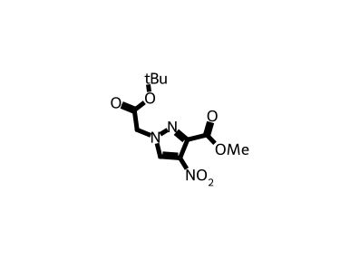 COC(=O)c1nn(CC(=O)OC(C)(C)C)cc1[N+](=O)[O-]